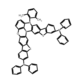 Cc1cccc(C)c1N1c2cc3c(cc2B2c4cc5sc6cc(N(c7ccccc7)c7ccccc7)ccc6c5cc4Oc4cccc1c42)sc1cc(N(c2ccccc2)c2ccccc2)ccc13